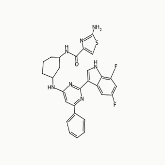 Nc1nc(C(=O)NC2CCCC(Nc3cc(-c4ccccc4)nc(-c4c[nH]c5c(F)cc(F)cc45)n3)C2)cs1